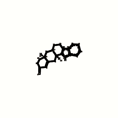 O=C1C=C2C[C@H]3c4[nH]c5ccccc5c4CCN3C[C@@H]2CC1